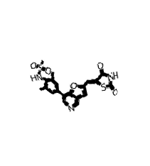 Cc1cc(-c2cncc3cc(/C=C4\SC(=O)NC4=O)oc23)cc(C)c1NS(C)(=O)=O